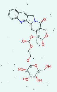 CC[C@@]1(OC(=O)OCCO[C@@H]2O[C@H](CO)[C@@H](O)[C@H](O)[C@H]2O)C(=O)OCc2c1cc1n(c2=O)Cc2cc3ccccc3nc2-1